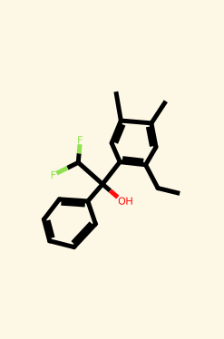 CCc1cc(C)c(C)cc1C(O)(c1ccccc1)C(F)F